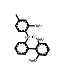 COc1cc(C)ccc1[PH](=O)c1ccccc1-c1c(OC)cccc1OC